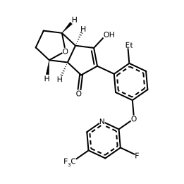 CCc1ccc(Oc2ncc(C(F)(F)F)cc2F)cc1C1=C(O)[C@H]2[C@@H](C1=O)[C@@H]1CC[C@H]2O1